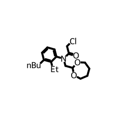 CCCCc1cccc(N(CC2OCCCCO2)C(=O)CCl)c1CC